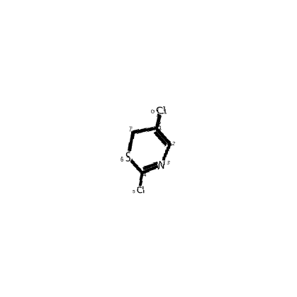 ClC1=CN=C(Cl)SC1